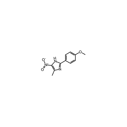 COc1ccc(-c2nc(C)c([N+](=O)[O-])[nH]2)cc1